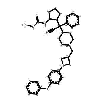 COC(=O)NC1CCCC1C(C#N)(c1ccccc1)C1CCN(CC2CN(c3ccc(Sc4ccccc4)cc3)C2)CC1